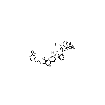 Cc1c(B2OC(C)(C)C(C)(C)O2)cccc1-c1ccn2c(=O)c(CNC[C@@H]3CCC(=O)N3)cnc2c1